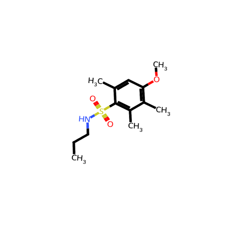 CCCNS(=O)(=O)c1c(C)cc(OC)c(C)c1C